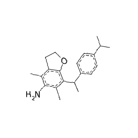 Cc1c(N)c(C)c(C(C)c2ccc(C(C)C)cc2)c2c1CCO2